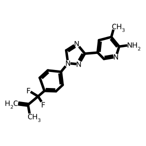 C=C(C)C(F)(F)c1ccc(-n2cnc(-c3cnc(N)c(C)c3)n2)cc1